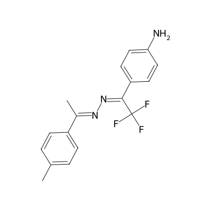 C/C(=N\N=C(\c1ccc(N)cc1)C(F)(F)F)c1ccc(C)cc1